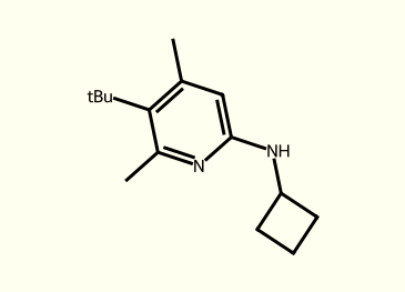 Cc1cc(NC2CCC2)nc(C)c1C(C)(C)C